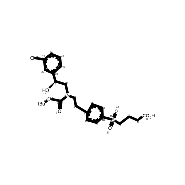 CC(C)(C)OC(=O)N(CCc1ccc(S(=O)(=O)CCCC(=O)O)cc1)C[C@@H](O)c1cccc(Cl)c1